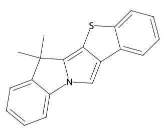 CC1(C)c2ccccc2-n2cc3c(sc4ccccc43)c21